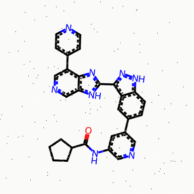 O=C(Nc1cncc(-c2ccc3[nH]nc(-c4nc5c(-c6ccncc6)cncc5[nH]4)c3c2)c1)C1CCCC1